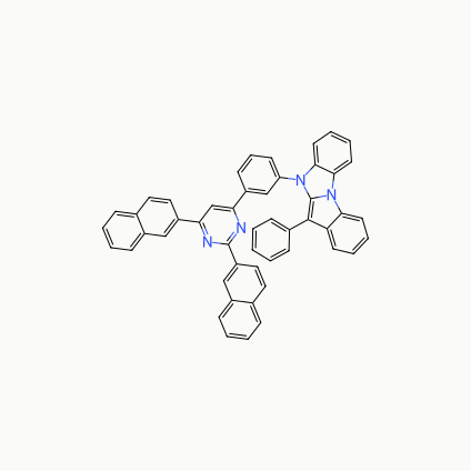 c1ccc(-c2c3ccccc3n3c4ccccc4n(-c4cccc(-c5cc(-c6ccc7ccccc7c6)nc(-c6ccc7ccccc7c6)n5)c4)c23)cc1